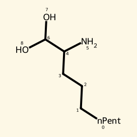 CCCCCCCCC(N)C(O)O